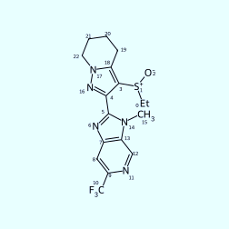 CC[S+]([O-])c1c(-c2nc3cc(C(F)(F)F)ncc3n2C)nn2c1CCCC2